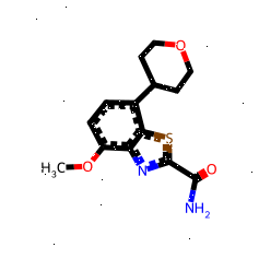 COc1ccc(C2CCOCC2)c2sc(C(N)=O)nc12